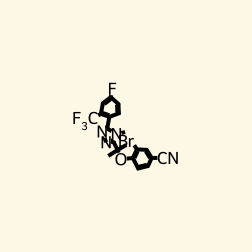 Cn1c(-c2ccc(F)cc2C(F)(F)F)nnc1C(C)(C)Oc1ccc(C#N)cc1Br